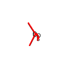 CCCCCCCCCCCCCCCCCCCOc1ccc(C=CC(=O)c2ccc(SCCC)cc2)cc1OCCCCCCCCCCCCCCCCCCC